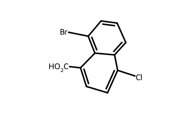 O=C(O)c1ccc(Cl)c2cccc(Br)c12